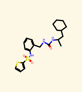 CC(CC1CCCCC1)NC(=O)NCc1ccccc1NS(=O)(=O)c1cccs1